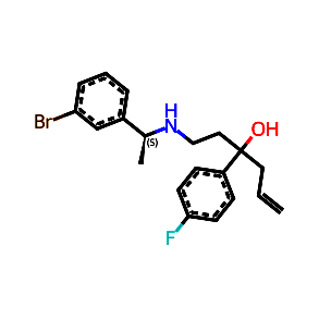 C=CCC(O)(CCN[C@@H](C)c1cccc(Br)c1)c1ccc(F)cc1